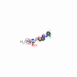 CC(C)(C)OC(=O)N1CCN(C2=NC(=O)C(=Cc3ccc4c(cnn4Cc4ccc(F)cc4C(F)(F)F)c3)S2)C[C@@H]1CO